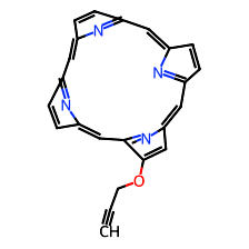 C#CCOC1=CC2=CC3=NC(=CC4=NC(=CC5=NC(=CC1=N2)C=C5)C=C4)C=C3